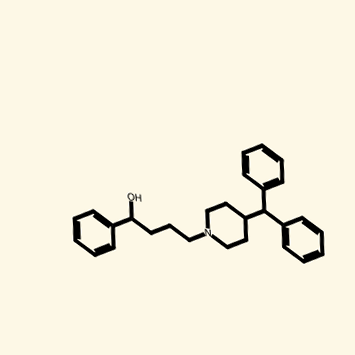 OC(CCCN1CCC(C(c2ccccc2)c2ccccc2)CC1)c1ccccc1